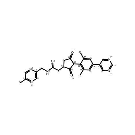 Cc1cnc(CNC(=O)CC2CC(=O)C(c3c(C)cc(-c4cncnc4)cc3C)C2=O)cn1